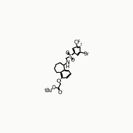 CC(C)(C)OC(=O)COc1cccc2c1CCCCC2NCS(=O)(=O)c1cc(Br)cc(C(F)(F)F)c1